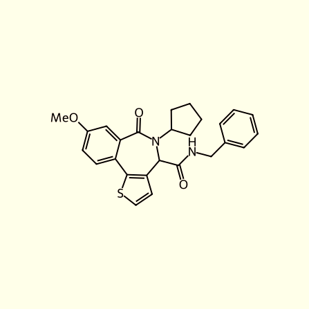 COc1ccc2c(c1)C(=O)N(C1CCCC1)C(C(=O)NCc1ccccc1)c1ccsc1-2